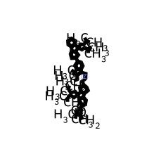 C=C1OB(c2ccc3c(c2)C(CCC(C)C)(CCC(C)C)c2cc(C/C=C\C4=C(CC)C(C)(C)c5cc(-c6ccc7c(c6)C(CCC(C)C)(CCC(C)C)c6ccccc6-7)ccc54)ccc2-3)OC1(C)C